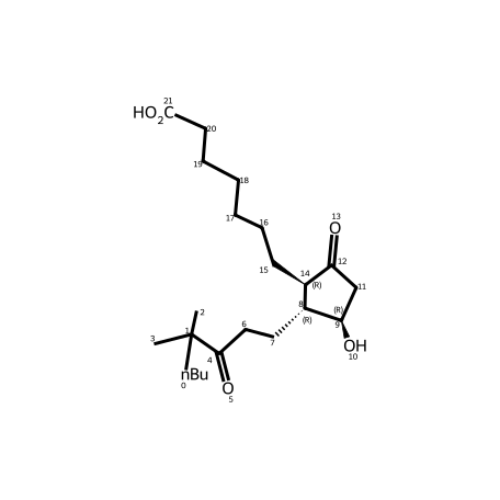 CCCCC(C)(C)C(=O)CC[C@H]1[C@H](O)CC(=O)[C@@H]1CCCCCCC(=O)O